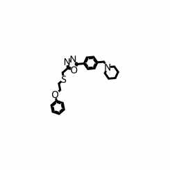 c1ccc(OCCSCc2nnc(-c3ccc(CN4CCCCC4)cc3)o2)cc1